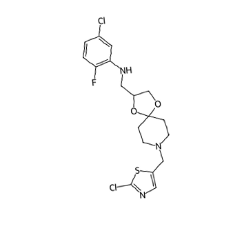 Fc1ccc(Cl)cc1NCC1COC2(CCN(Cc3cnc(Cl)s3)CC2)O1